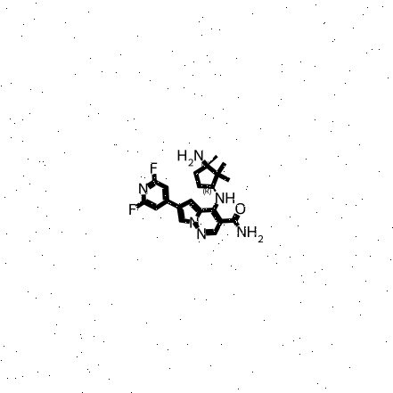 CC1(C)[C@H](Nc2c(C(N)=O)cnn3cc(-c4cc(F)nc(F)c4)cc23)CC[C@]1(C)N